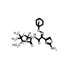 CC1(C)S[C@@H]2[C@H](NC(=O)/C(=N\OC34CCC(CC3)CC4)c3csc(N)n3)C(=O)N2[C@H]1C(=O)O